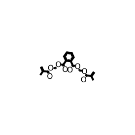 C=C(C)C(=O)OCOC(=O)c1ccccc1C(=O)OCOC(=O)C(=C)C